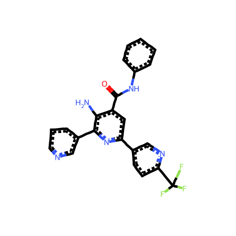 Nc1c(C(=O)Nc2ccccc2)cc(-c2ccc(C(F)(F)F)nc2)nc1-c1cccnc1